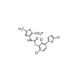 Cc1nc(NC(=O)Cc2c(Cl)ccc(-c3ccc(Cl)s3)c2Cl)c(C(=O)O)s1